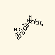 CN(C(=O)CN1CCOC1=O)c1ccc2cc(-c3n[nH]c4c3CCC(C)(C)C4)[nH]c2c1